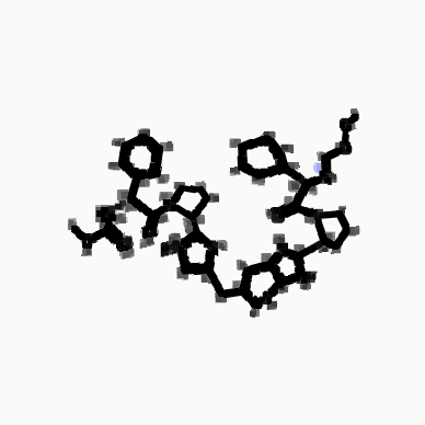 COO/C=N/[C@@H](C(=O)N1CCC[C@H]1c1nc2cc(Cc3c[nH]c([C@@H]4CCCN4C(=O)[C@H](NC(=O)OC)c4ccccc4)n3)cnc2[nH]1)c1ccccc1